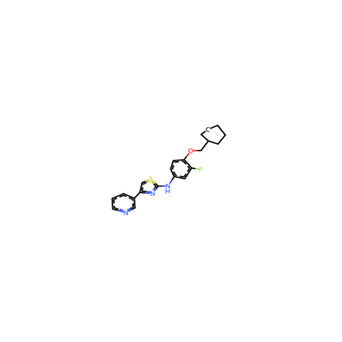 Fc1cc(Nc2nc(-c3cccnc3)cs2)ccc1OCC1CCCCC1